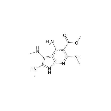 CNc1nc2[nH]c(NC)c(NC)c2c(N)c1C(=O)OC